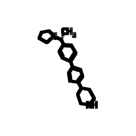 C[C@H](c1ccc(-c2ccc(C3CCNCC3)cc2)cc1)N1CCCC1